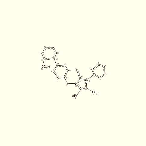 CCCc1c(C(F)(F)F)n(-c2ccccc2)c(=O)n1Cc1ccc(-c2ccccc2C(=O)O)cc1